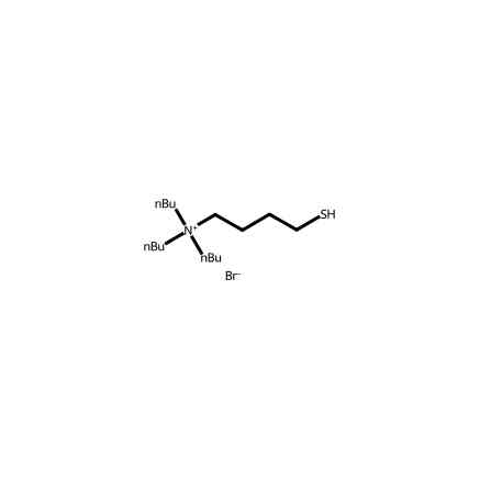 CCCC[N+](CCCC)(CCCC)CCCCS.[Br-]